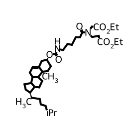 CCOC(=O)CCN(CC(=O)OCC)C(=O)CCCCCNC(=O)O[C@H]1CC[C@@]2(C)C(=CCC3C4CC[C@H](C(C)CCCC(C)C)C4CCC32)C1